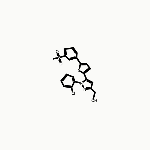 CS(=O)(=O)c1cccc(-c2ccc(-c3cc(CO)nn3-c3ccccc3Cl)s2)c1